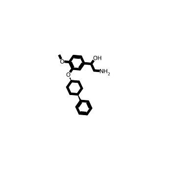 COc1ccc(C(O)CN)cc1O[C@H]1CC[C@H](c2ccccc2)CC1